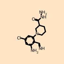 N=Cc1c(N)cc(Cl)cc1N1CCCC(C(=O)NN)C1